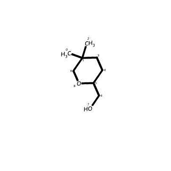 CC1(C)CCC(CO)OC1